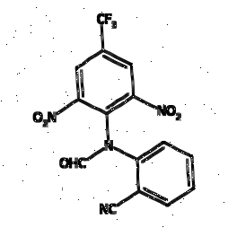 N#Cc1ccccc1N(C=O)c1c([N+](=O)[O-])cc(C(F)(F)F)cc1[N+](=O)[O-]